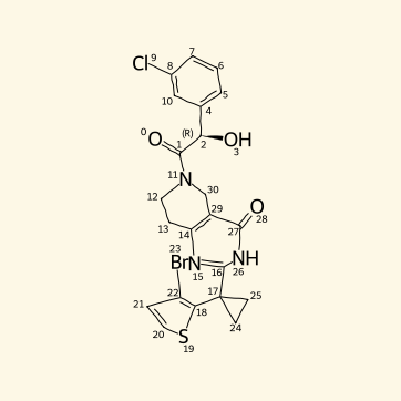 O=C([C@H](O)c1cccc(Cl)c1)N1CCc2nc(C3(c4sccc4Br)CC3)[nH]c(=O)c2C1